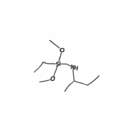 CCC(C)N[Si](CC)(OC)OC